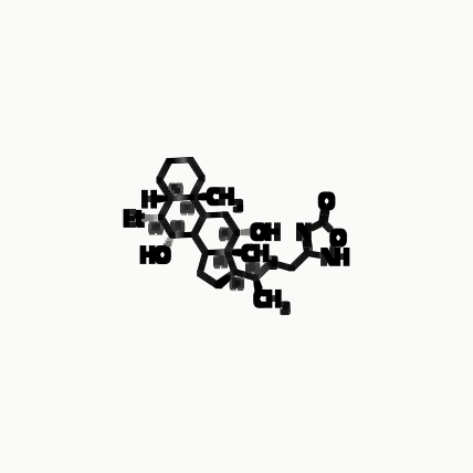 CC[C@H]1[C@@H](O)C2C3CC[C@H]([C@H](C)CCc4nc(=O)o[nH]4)[C@@]3(C)[C@@H](O)CC2[C@@]2(C)CCCC[C@@H]12